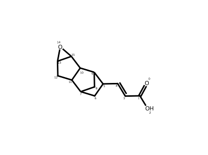 O=C(O)C=CC1CC2CC1C1C2CC2OC21